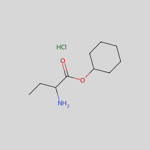 CCC(N)C(=O)OC1CCCCC1.Cl